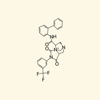 O=C(Nc1ccccc1-c1ccccc1)C1C[N@@]2CC3C(=O)N(c4cccc(C(F)(F)F)c4)C(=O)[N+]13C2